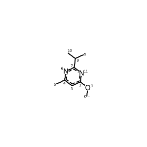 [CH2]Oc1cc(C)nc(C(C)C)n1